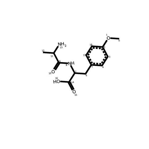 COc1ccc(CC(NC(=O)C(C)N)C(=O)O)cc1